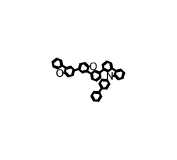 c1ccc(-c2ccc(-n3c4ccccc4c4cccc(-c5cccc6c5oc5ccc(-c7ccc8oc9ccccc9c8c7)cc56)c43)cc2)cc1